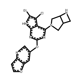 CCc1[nH]c2nc(Oc3cnc4ccoc4c3)nc(N3CC4CNC4C3)c2c1Cl